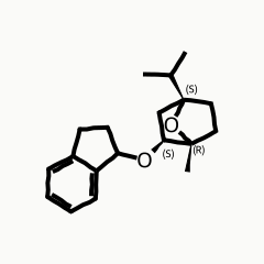 CC(C)[C@@]12CC[C@@](C)(O1)[C@@H](OC1CCc3ccccc31)C2